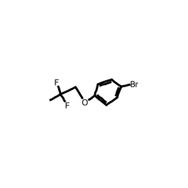 CC(F)(F)COc1ccc(Br)cc1